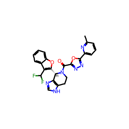 Cc1cccc(-c2nnc(C(=O)N3CCc4[nH]cnc4[C@@H]3c3oc4ccccc4c3C(F)F)o2)n1